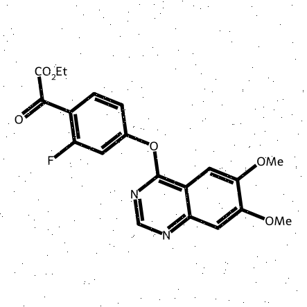 CCOC(=O)C(=O)c1ccc(Oc2ncnc3cc(OC)c(OC)cc23)cc1F